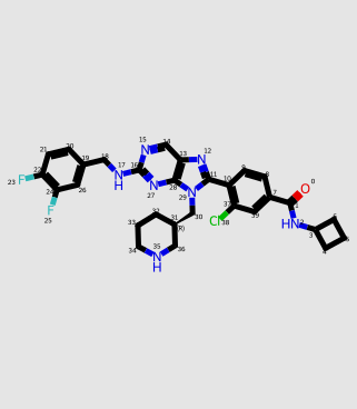 O=C(NC1CCC1)c1ccc(-c2nc3cnc(NCc4ccc(F)c(F)c4)nc3n2C[C@@H]2CCCNC2)c(Cl)c1